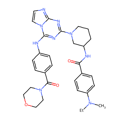 CCN(C)c1ccc(C(=O)NC2CCCN(c3nc(Nc4ccc(C(=O)N5CCOCC5)cc4)n4ccnc4n3)C2)cc1